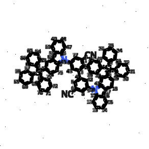 N#Cc1cc(-c2cc(C#N)cc(-n3c4ccccc4c4ccc([Si](c5ccccc5)(c5ccccc5)c5ccccc5)cc43)c2)cc(-n2c3ccccc3c3cc([Si](c4ccccc4)(c4ccccc4)c4ccccc4)ccc32)c1